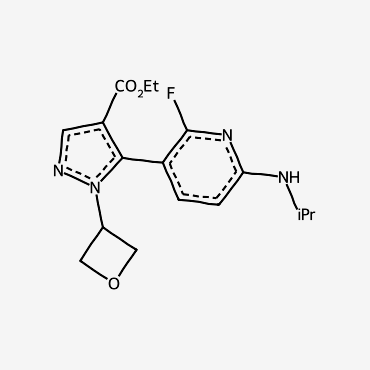 CCOC(=O)c1cnn(C2COC2)c1-c1ccc(NC(C)C)nc1F